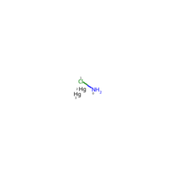 NCl.[Hg].[Hg]